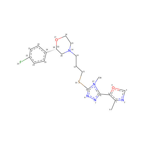 Cc1ncoc1-c1nnc(SCCCN2CCO[C@@H](c3ccc(F)cc3)C2)n1C